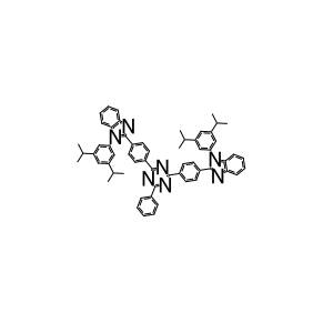 CC(C)c1cc(C(C)C)cc(-n2c(-c3ccc(-c4nc(-c5ccccc5)nc(-c5ccc(-c6nc7ccccc7n6-c6cc(C(C)C)cc(C(C)C)c6)cc5)n4)cc3)nc3ccccc32)c1